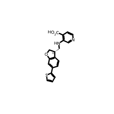 O=C(O)c1ccncc1NC[C@H]1COc2cc(-c3cccs3)ccc21